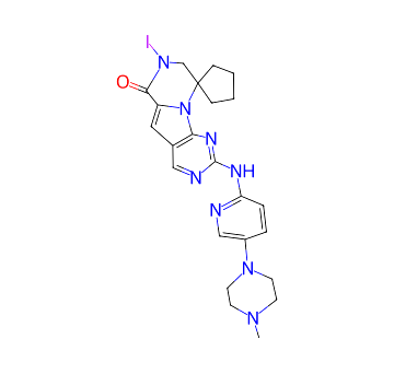 CN1CCN(c2ccc(Nc3ncc4cc5n(c4n3)C3(CCCC3)CN(I)C5=O)nc2)CC1